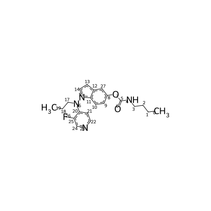 CCCCNC(=O)Oc1ccc2c(ccn2N(CCC)c2ccncc2F)c1